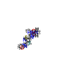 CC(C)(C)OC(=O)N1[C@@H]2CC[C@H]1CC(Nc1ccc(-c3cc(F)c(-c4cnn(C5CCCCO5)c4)c4ncsc34)nn1)C2